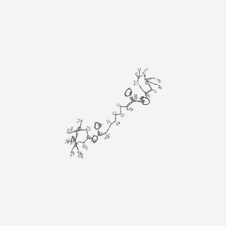 CN1C(C)(C)CC(OC(=O)CCCCCCCC(=O)OC2CC(C)(C)N(C)C(C)(C)C2)CC1(C)C